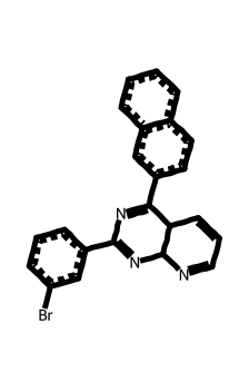 Brc1cccc(C2=NC3N=CC=CC3C(c3ccc4ccccc4c3)=N2)c1